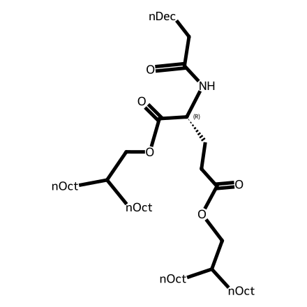 CCCCCCCCCCCC(=O)N[C@H](CCC(=O)OCC(CCCCCCCC)CCCCCCCC)C(=O)OCC(CCCCCCCC)CCCCCCCC